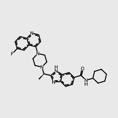 C[C@H](c1nc2ccc(C(=O)NC3CCCCC3)cc2[nH]1)N1CCN(c2ccnc3ccc(F)cc23)CC1